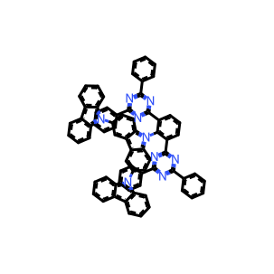 c1ccc(-c2nc(-c3ccccc3)nc(-c3cccc(-c4nc(-c5ccccc5)nc(-c5ccccc5)n4)c3-n3c4ccc(-n5c6ccccc6c6ccccc65)cc4c4cc(-n5c6ccccc6c6ccccc65)ccc43)n2)cc1